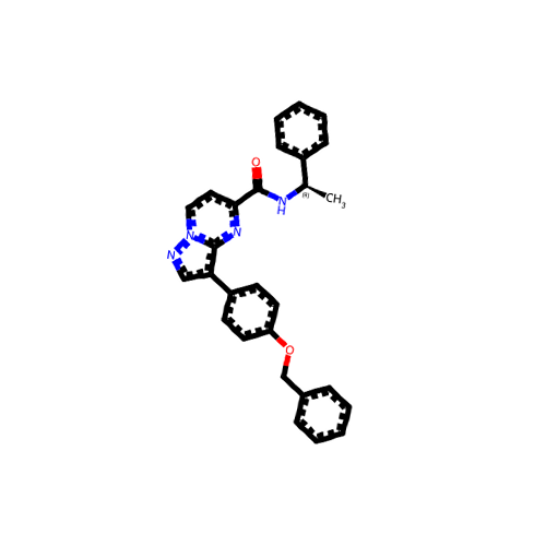 C[C@@H](NC(=O)c1ccn2ncc(-c3ccc(OCc4ccccc4)cc3)c2n1)c1ccccc1